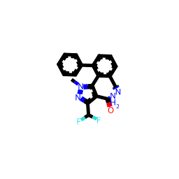 Cn1nc(C(F)F)c(C(N)=O)c1-c1c(C#N)cccc1-c1ccccc1